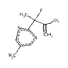 C=C(C)C(C)(F)c1ncc(C)cn1